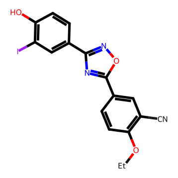 CCOc1ccc(-c2nc(-c3ccc(O)c(I)c3)no2)cc1C#N